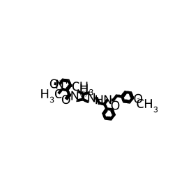 COc1ccc(CC(=O)NC(CCN2CC3CN(C(=O)c4c(C)cc[n+]([O-])c4C)C[C@@H]3C2)c2ccccc2)cc1